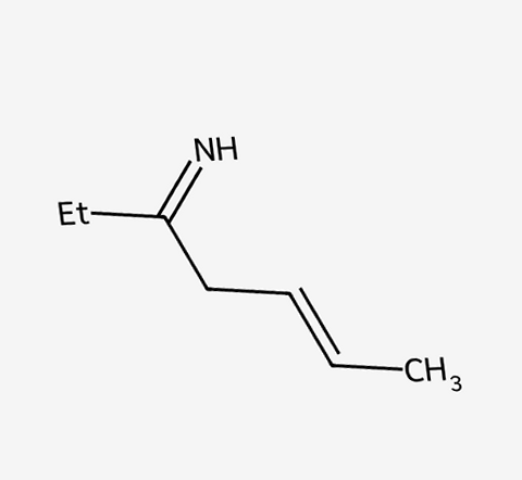 C/C=C/CC(=N)CC